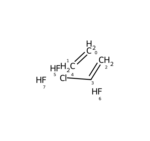 C=C.C=CCl.F.F.F